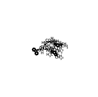 Cc1c(C)c(S(=O)(=O)NC(=N)NCCC[C@H](NC(=O)CNC(=O)[C@H](CCCNC(=N)NS(=O)(=O)c2c(C)c(C)c3c(c2C)CC(C)(C)O3)NC(=O)OCC2c3ccccc3-c3ccccc32)C(=O)O)c(C)c2c1OC(C)(C)C2